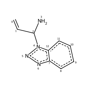 C=CC(N)n1nnc2ccccc21